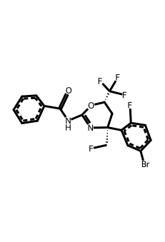 O=C(NC1=N[C@](CF)(c2cc(Br)ccc2F)C[C@@H](C(F)(F)F)O1)c1ccccc1